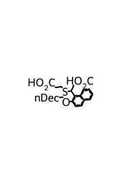 CCCCCCCCCCCOc1ccc2ccccc2c1C(CC(=O)O)SCCC(=O)O